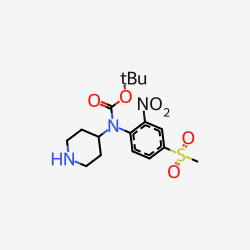 CC(C)(C)OC(=O)N(c1ccc(S(C)(=O)=O)cc1[N+](=O)[O-])C1CCNCC1